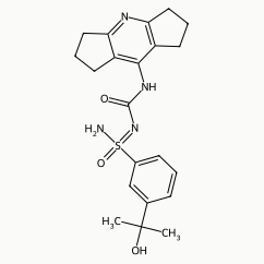 CC(C)(O)c1cccc(S(N)(=O)=NC(=O)Nc2c3c(nc4c2CCC4)CCC3)c1